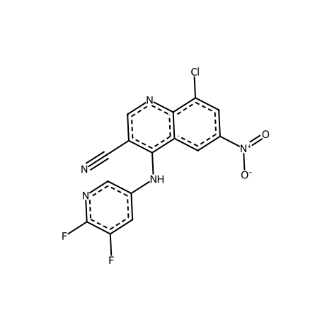 N#Cc1cnc2c(Cl)cc([N+](=O)[O-])cc2c1Nc1cnc(F)c(F)c1